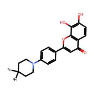 [2H]C1([2H])CCN(c2ccc(-c3cc(=O)c4ccc(O)c(O)c4o3)cc2)CC1